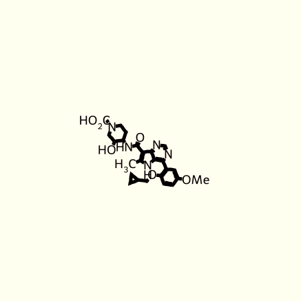 COc1ccc(OCC2CC2)c(-c2ncnc3c(C(=O)NC4CCN(C(=O)O)CC4O)c(C)[nH]c23)c1